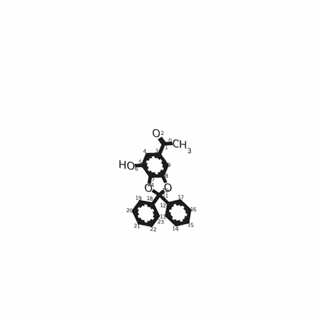 CC(=O)c1cc(O)c2c(c1)OC(c1ccccc1)(c1ccccc1)O2